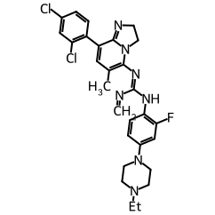 C=N/C(=N\C1=C(C)C=C(c2ccc(Cl)cc2Cl)C2=NCCN21)Nc1ccc(N2CCN(CC)CC2)cc1F